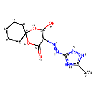 CSc1nnc(N=NC2=C(O)OC3(CCCCC3)OC2=O)[nH]1